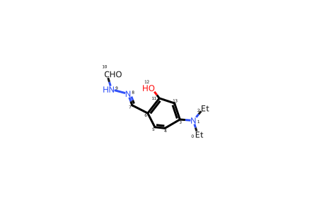 CCN(CC)c1ccc(C=NNC=O)c(O)c1